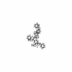 O=[N+]([O-])c1cc([C@@H](O)C(Cc2ccccc2)N[C@H](CO)Cc2ccc(Oc3ccccn3)cc2)ccc1OCc1ccccc1